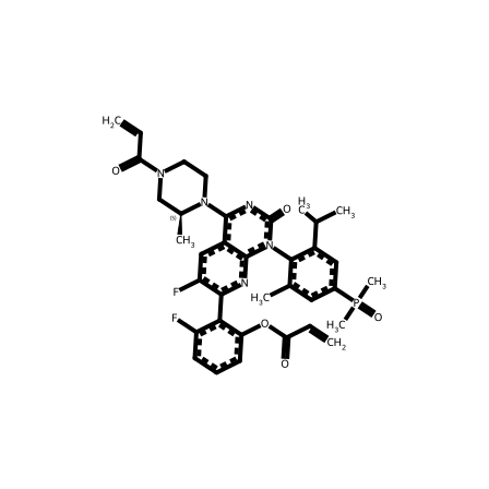 C=CC(=O)Oc1cccc(F)c1-c1nc2c(cc1F)c(N1CCN(C(=O)C=C)C[C@@H]1C)nc(=O)n2-c1c(C)cc(P(C)(C)=O)cc1C(C)C